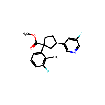 COC(=O)[C@@]1(c2cccc(F)c2C)CC[C@@H](c2cncc(F)c2)C1